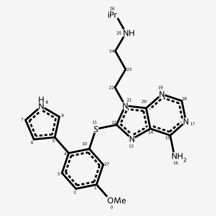 COc1ccc(-c2cc[nH]c2)c(Sc2nc3c(N)ncnc3n2CCCNC(C)C)c1